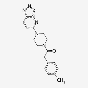 Cc1ccc(CC(=O)N2CCN(c3ccc4nncn4n3)CC2)cc1